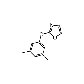 Cc1cc(C)cc(Oc2n[c]co2)c1